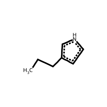 CCCc1cc[nH]c1